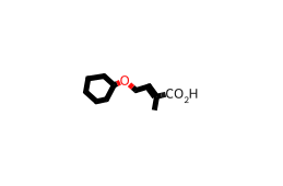 CC(=CCOC1CCCCC1)C(=O)O